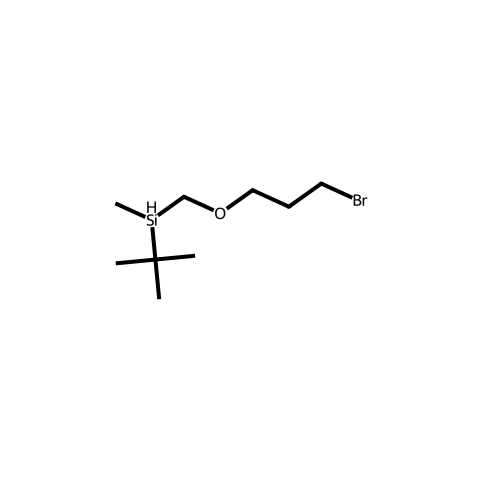 C[SiH](COCCCBr)C(C)(C)C